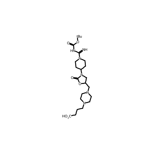 CC(C)(C)OC(=O)NC(=N)N1CCC(N2CC(CN3CCN(CCCC(=O)O)CC3)OC2=O)CC1